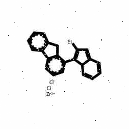 CCC1=C(c2cccc3c2Cc2ccccc2-3)C2C=CC=CC2=C1.[Cl-].[Cl-].[Zr+2]